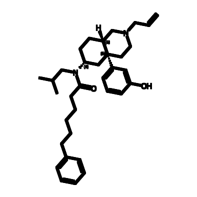 C=CCN1CC[C@@]2(c3cccc(O)c3)C[C@H](N(CC(C)C)C(=O)CCCCCc3ccccc3)CC[C@@H]2C1